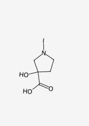 O=C(O)C1(O)CCN(I)C1